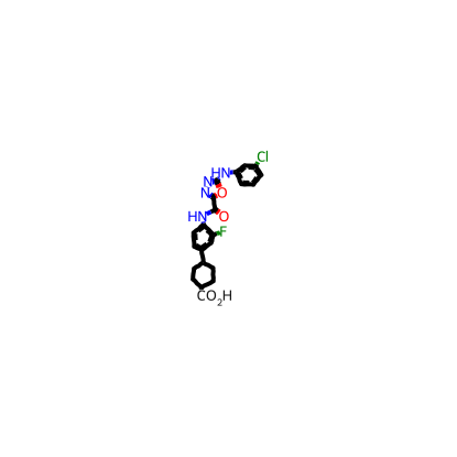 O=C(Nc1ccc(C2CCC(C(=O)O)CC2)cc1F)c1nnc(Nc2cccc(Cl)c2)o1